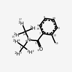 [2H]C([2H])([2H])N(C(=O)c1ccccc1C)C([2H])([2H])[2H]